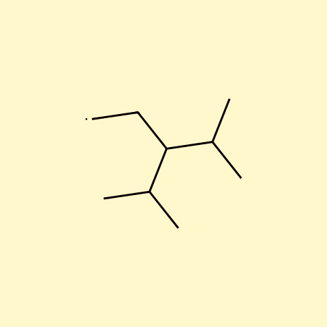 [CH2]CC(C(C)C)C(C)C